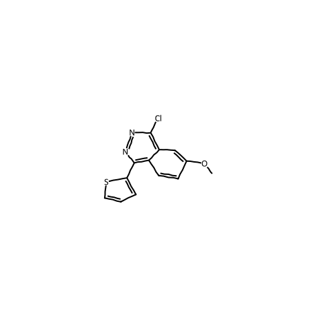 COc1ccc2c(-c3cccs3)nnc(Cl)c2c1